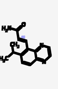 CC(C)c1ccc2nccnc2c1/C=C/C(N)=O